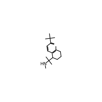 C=C(/C=C\C1=C(C)CCCC1C(C)(C)NC)C(C)(C)C